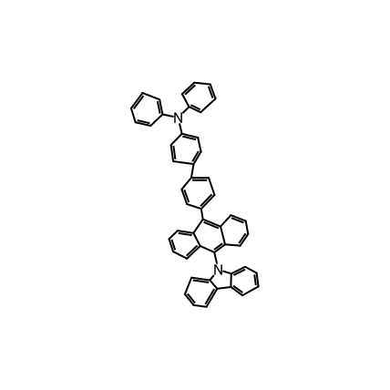 c1ccc(N(c2ccccc2)c2ccc(-c3ccc(-c4c5ccccc5c(-n5c6ccccc6c6ccccc65)c5ccccc45)cc3)cc2)cc1